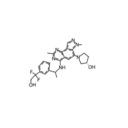 Cc1nc(NC(C)c2cccc(C(F)(F)CO)c2)c2cc(N3CC[C@H](O)C3)c3c(cnn3C)c2n1